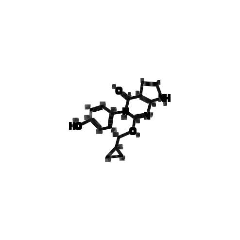 O=c1c2cc[nH]c2nc(OCC2CC2)n1-c1ccc(O)cc1